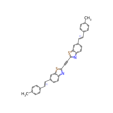 Cc1ccc(/C=C/c2ccc3nc(C#Cc4nc5ccc(/C=C/c6ccc(C)cc6)cc5s4)sc3c2)cc1